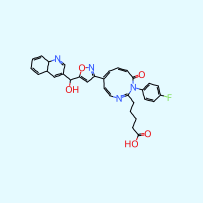 O=C(O)CCCCc1nccc(-c2cc(C(O)C3=CC4C=CC=CC4N=C3)on2)cccc(=O)n1-c1ccc(F)cc1